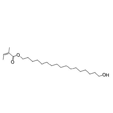 CC=C(C)C(=O)OCCCCCCCCCCCCCCCCCO